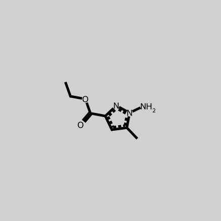 CCOC(=O)c1cc(C)n(N)n1